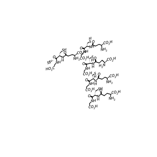 N[C@@H](CCC(=O)N[C@@H](CS)C(=O)NCC(=O)O)C(=O)O.N[C@@H](CCC(=O)N[C@@H](CS)C(=O)NCC(=O)O)C(=O)O.N[C@@H](CCC(=O)N[C@@H](CS)C(=O)NCC(=O)O)C(=O)O.N[C@@H](CCC(=O)N[C@@H](CS)C(=O)NCC(=O)O)C(=O)O.N[C@@H](CCC(=O)N[C@@H](CS)C(=O)NCC(=O)O)C(=O)O.[S-2].[S-2]